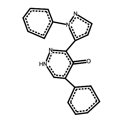 O=c1c(-c2ccccc2)c[nH]nc1-c1ccnn1-c1ccccc1